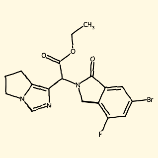 CCOC(=O)C(c1ncn2c1CCC2)N1Cc2c(F)cc(Br)cc2C1=O